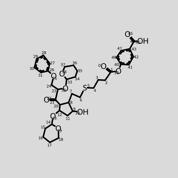 O=C(CCCSCCC1C(O)CC(OC2CCCCO2)C1C(=O)C(COc1ccccc1)OC1CCCCO1)Oc1ccc(C(=O)O)cc1